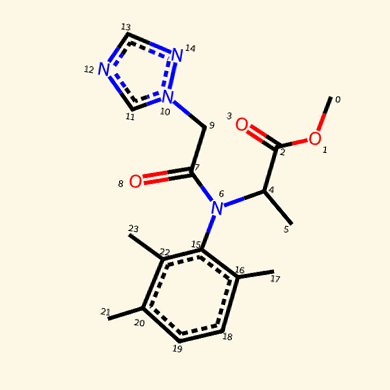 COC(=O)C(C)N(C(=O)Cn1cncn1)c1c(C)ccc(C)c1C